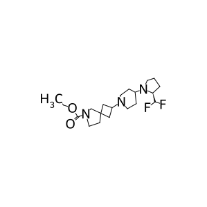 CCOC(=O)N1CCC2(CC(N3CCC(N4CCC[C@H]4C(F)F)CC3)C2)C1